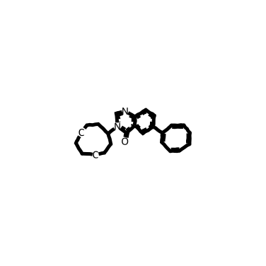 O=c1c2cc(C3=C/C=C\C=C/C=C\3)ccc2ncn1C1CCCCCCCC1